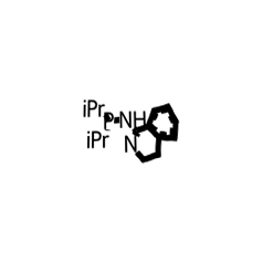 CC(C)P(NC1=NCCc2ccccc21)C(C)C